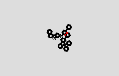 c1ccc(-c2ccc(N(c3ccc4c(c3)oc3ccc5ccccc5c34)c3cc4c(cc3-c3ccccc3)C(c3ccccc3)(c3ccccc3)c3ccccc3-4)cc2)cc1